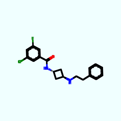 O=C(N[C@H]1C[C@H](NCCc2ccccc2)C1)c1cc(F)cc(Cl)c1